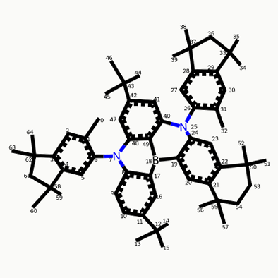 Cc1cc2c(cc1N1c3ccc(C(C)(C)C)cc3B3c4cc5c(cc4N(c4cc6c(cc4C)C(C)(C)CC6(C)C)c4cc(C(C)(C)C)cc1c43)C(C)(C)CCC5(C)C)C(C)(C)CC2(C)C